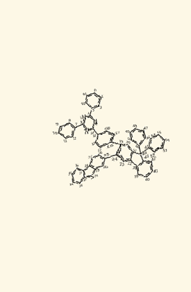 c1ccc(-c2nc(-c3ccccc3)nc(-c3ccc(-c4cc5c(cc4-c4ccc6c(c4)sc4ccccc46)-c4ccccc4C5(c4ccccc4)c4ccccc4)cc3)n2)cc1